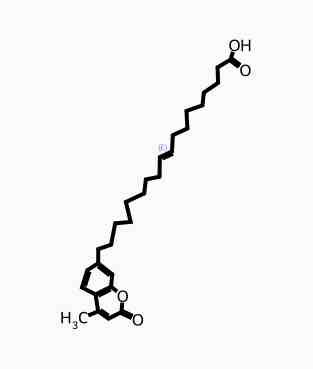 Cc1cc(=O)oc2cc(CCCCCCCC/C=C/CCCCCCCC(=O)O)ccc12